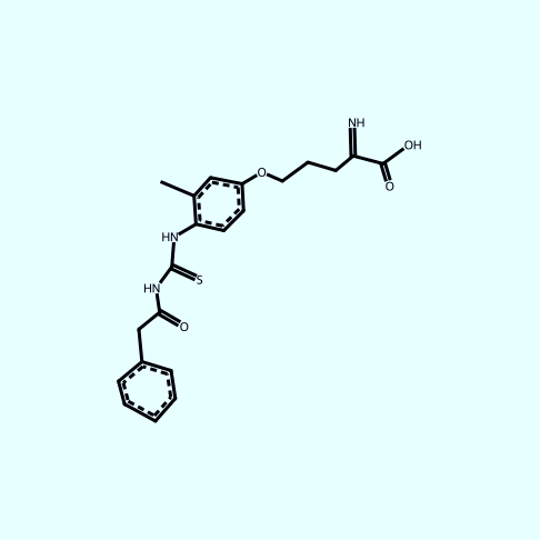 Cc1cc(OCCCC(=N)C(=O)O)ccc1NC(=S)NC(=O)Cc1ccccc1